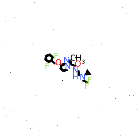 Cc1nc2c(OCc3c(F)cccc3F)cccn2c1C(=O)NCCN(CC(F)F)C1CC1